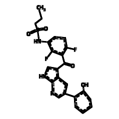 CCCS(=O)(=O)Nc1ccc(F)c(C(=O)c2c[nH]c3ncc(-c4ccccc4O)cc23)c1F